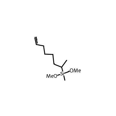 C=CCCCCC(C)[Si](C)(OC)OC